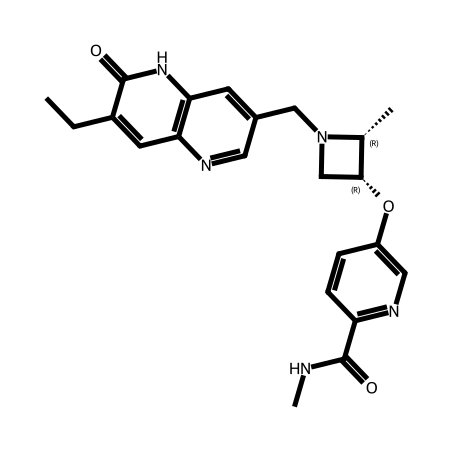 CCc1cc2ncc(CN3C[C@@H](Oc4ccc(C(=O)NC)nc4)[C@H]3C)cc2[nH]c1=O